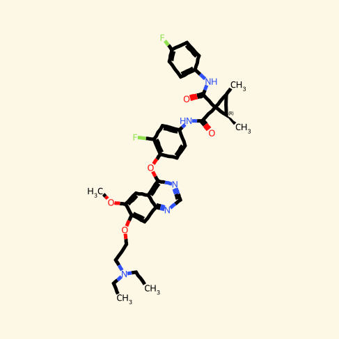 CCN(CC)CCOc1cc2ncnc(Oc3ccc(NC(=O)C4(C(=O)Nc5ccc(F)cc5)C(C)[C@H]4C)cc3F)c2cc1OC